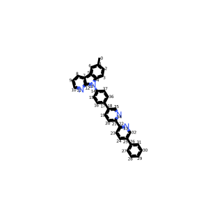 Cc1ccc2c(c1)c1cccnc1n2-c1ccc(-c2ccc(-c3ccc(-c4ccccc4)cn3)nc2)cc1